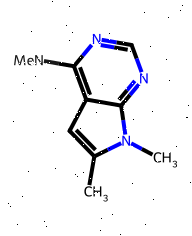 CNc1ncnc2c1cc(C)n2C